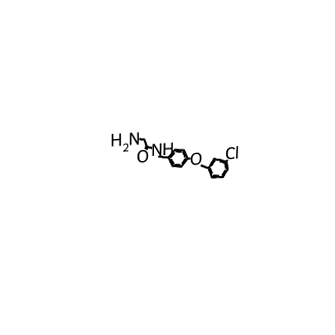 NCC(=O)NCc1ccc(OCc2cccc(Cl)c2)cc1